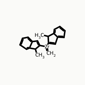 [CH2]=[Zr]([C]1=Cc2ccccc2C1C)[C]1=Cc2ccccc2C1C